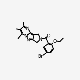 CCOc1ccc(Br)cc1C(=O)N1Cc2nn3c(C)c(C)c(C)nc3c2C1